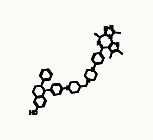 Cc1sc2c(c1C)C(c1ccc(N3CCN(CC4CCN(c5ccc([C@H]6c7ccc(O)cc7CC[C@H]6c6ccccc6)cc5)CC4)CC3)cc1)=N[C@@H](C)c1nnc(C)n1-2